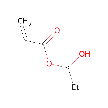 C=CC(=O)O[C](O)CC